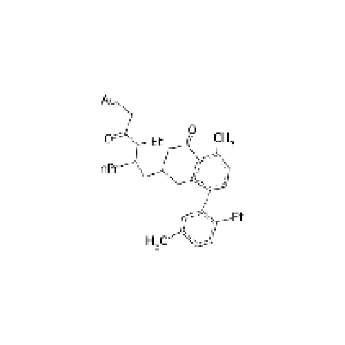 CCCC(CC1CC(=O)c2c(C)ccc(-c3cc(C)ccc3CC)c2C1)C(CC)C(=O)CC(C)=O